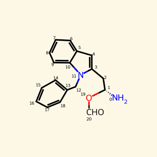 N[C@@H](Cc1cc2ccccc2n1Cc1ccccc1)OC=O